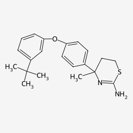 CC(C)(C)c1cccc(Oc2ccc(C3(C)CCSC(N)=N3)cc2)c1